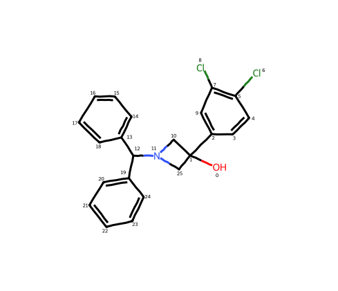 OC1(c2ccc(Cl)c(Cl)c2)CN(C(c2ccccc2)c2ccccc2)C1